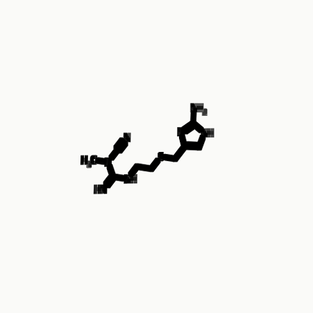 CN(C#N)C(=N)NCCSCc1c[nH]c(N)n1